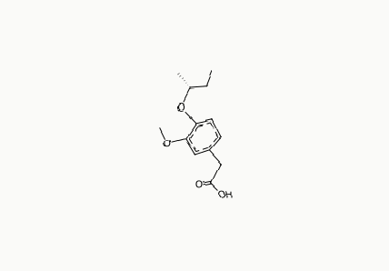 CC[C@@H](C)Oc1ccc(CC(=O)O)cc1OC